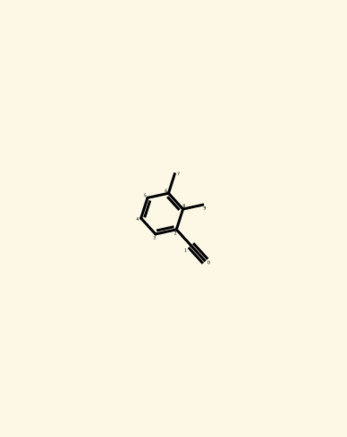 C#Cc1cccc(C)c1C